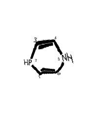 C1=CPC=CN1